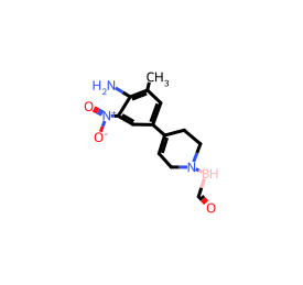 Cc1cc(C2=CCN(BC=O)CC2)cc([N+](=O)[O-])c1N